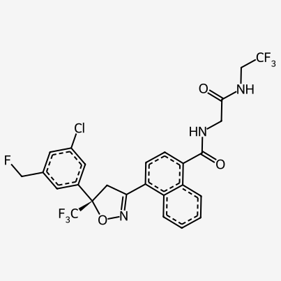 O=C(CNC(=O)c1ccc(C2=NO[C@@](c3cc(Cl)cc(CF)c3)(C(F)(F)F)C2)c2ccccc12)NCC(F)(F)F